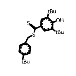 CC(C)(C)c1ccc(CSC(=S)c2cc(C(C)(C)C)c(O)c(C(C)(C)C)c2)cc1